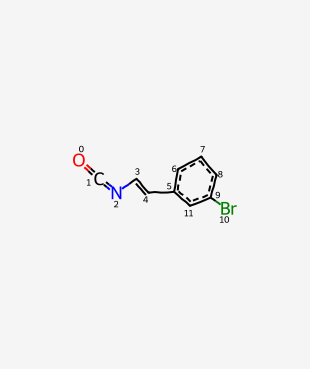 O=C=NC=Cc1cccc(Br)c1